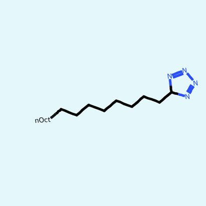 [CH2]CCCCCCCCCCCCCCCC1N=NN=N1